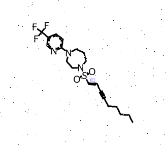 CCCCCC#C/C=C/S(=O)(=O)N1CCCN(c2ccc(C(F)(F)F)cn2)CC1